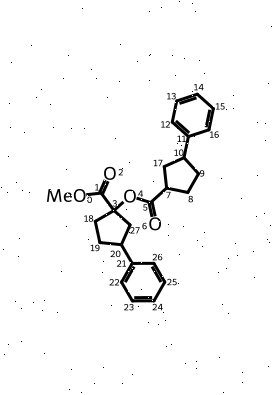 COC(=O)C1(OC(=O)C2CCC(c3ccccc3)C2)CCC(c2ccccc2)C1